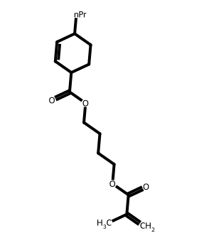 C=C(C)C(=O)OCCCCOC(=O)C1C=CC(CCC)CC1